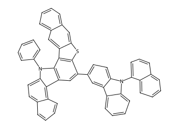 c1ccc(-n2c3ccc4ccccc4c3c3cc(-c4ccc5c(c4)c4ccccc4n5-c4cccc5ccccc45)c4sc5cc6ccccc6cc5c4c32)cc1